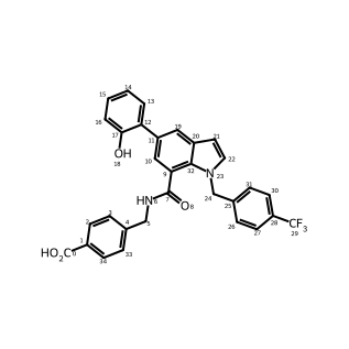 O=C(O)c1ccc(CNC(=O)c2cc(-c3ccccc3O)cc3ccn(Cc4ccc(C(F)(F)F)cc4)c23)cc1